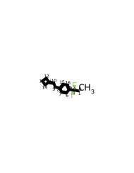 CCC(F)(F)c1ccc(CC=C2CCC2)cc1